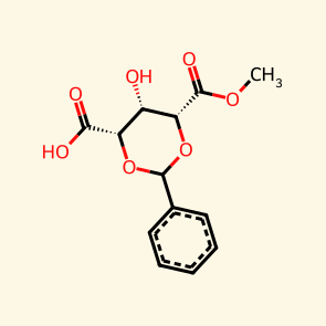 COC(=O)[C@@H]1OC(c2ccccc2)O[C@H](C(=O)O)[C@@H]1O